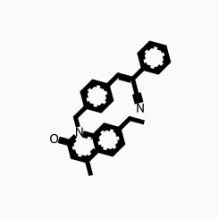 CCc1ccc2c(C)cc(=O)n(Cc3ccc(C=C(C#N)c4ccccc4)cc3)c2c1